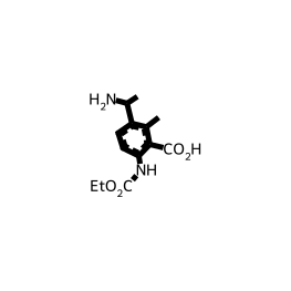 CCOC(=O)Nc1ccc(C(C)N)c(C)c1C(=O)O